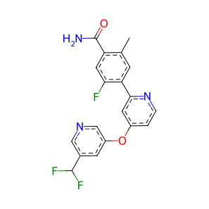 Cc1cc(-c2cc(Oc3cncc(C(F)F)c3)ccn2)c(F)cc1C(N)=O